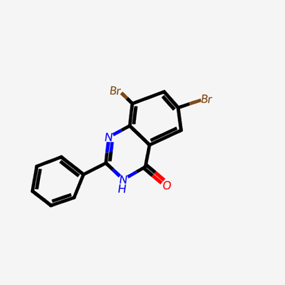 O=c1[nH]c(-c2ccccc2)nc2c(Br)cc(Br)cc12